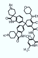 CCN(C1=C(C)C(C(=O)NCc2c(C)cc(C)[nH]c2=O)=CC(c2ccc3c(c2)NC(=O)C32CCN(C(C)=O)CC2)(c2ccc3c(c2)NC(=O)C32CCN(C(C)=O)CC2)C1)C1CCOCC1